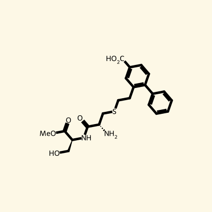 COC(=O)[C@H](CO)NC(=O)[C@@H](N)CSCCc1cc(C(=O)O)ccc1-c1ccccc1